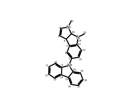 CN1C=CC2c3cc(-n4c5ccccc5c5ccccc54)ccc3N(C)C21